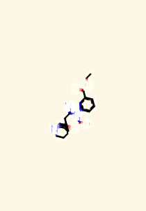 CCOC(=O)c1cccc(N2C(=N)CC3(CN4CCC3CC4)OC2=O)c1